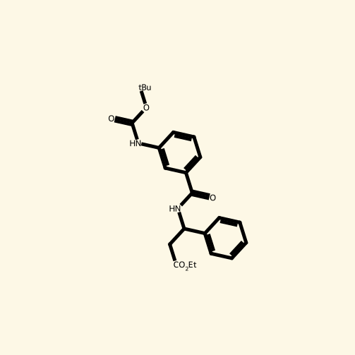 CCOC(=O)CC(NC(=O)c1cccc(NC(=O)OC(C)(C)C)c1)c1ccccc1